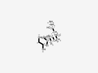 CC(=O)O.CC(=O)O.CC(=O)O.CC(=O)O.CCOCC.N.N.OCCO